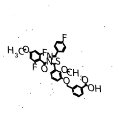 COc1cc(F)c(C(=O)N2N=C(c3ccc(F)cc3)SC2c2cccc(OCc3cccc(C(=O)O)c3)c2OC)c(F)c1